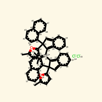 Cc1ccc(C2(c3cccc4ccccc34)C=c3ccccc3=[C]2[Zr+2]([C]2=c3ccccc3=CC2(c2ccc(C)o2)c2cccc3ccccc23)=[Si](C)C)o1.[Cl-].[Cl-]